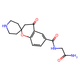 NC(=O)CNC(=O)c1ccc2c(c1)C(=O)CC1(CCNCC1)O2